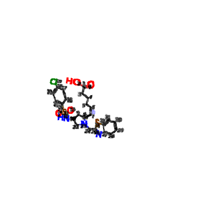 O=C(O)CCC/C=C\[C@@H]1C[C@@H](NS(=O)(=O)c2ccc(Cl)cc2)CN1Cc1nc2ccccc2s1